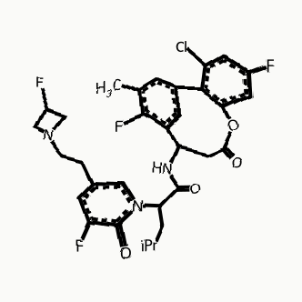 Cc1cc2cc(c1F)C(NC(=O)C(CC(C)C)n1cc(CCN3CC(F)C3)cc(F)c1=O)CC(=O)Oc1cc(F)cc(Cl)c1-2